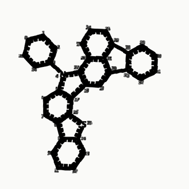 c1ccc(-n2c3ccc4c5ccccc5sc4c3c3cc4c5c(cccc5c32)-c2ccccc2-4)cc1